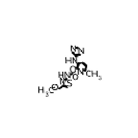 COCc1csc(NC(=O)Oc2nc(C)ccc2Nc2cncnc2)n1